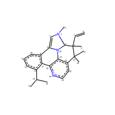 C=CC1(C)C2N(C)C=C3c4cccc(C(C)C)c4-c4nccc(c4N32)C1(C)C